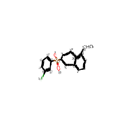 O=Cc1cccc2cc(S(=O)(=O)c3cccc(F)c3)ccc12